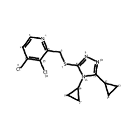 Clc1ccnc(CSc2nnc(C3CC3)n2C2CC2)c1Cl